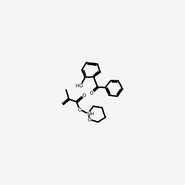 C=C(C)C(=O)O[SiH]1CCCCO1.O=C(c1ccccc1)c1ccccc1O